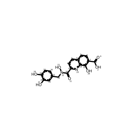 O=C(O)c1ccc2ccc(C(=O)N(O)Cc3ccc(O)c(O)c3)nc2c1O